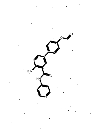 Nc1ncc(-c2ccc(OC=O)cc2)cc1C(=O)Nc1ccncc1